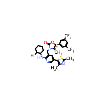 CCC1CCCCC1Nc1ncc(-c2sc(C)nc2C)cc1CN1C(=O)O[C@H](c2cc(C(F)(F)F)cc(C(F)(F)F)c2)[C@@H]1C